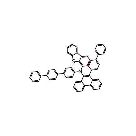 c1ccc(-c2ccc(-c3ccc(N(c4c(-c5ccc(-c6ccccc6)cc5)c5ccccc5c5ccccc45)c4cccc5c4sc4ccccc45)cc3)cc2)cc1